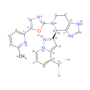 Cc1cccc(-c2nnc(N3CCc4[nH]cnc4[C@H]3c3cc4c(C(F)F)cccn4n3)o2)n1